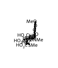 CN[C@@H](CNC(=O)CCOCCOCCOC)C(=O)N[C@@H](CC(=O)O)C(=O)N[C@@H](CC(=O)O)C(=O)NC(CSC)C(=O)O